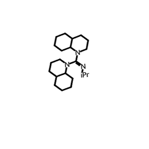 CC(C)N=C(N1CCCC2CCCCC21)N1CCCC2CCCCC21